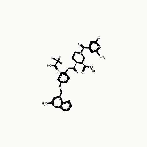 Cc1cc(C(=O)N2CC[C@H](C(=O)Nc3ccc(OCc4cc(C)nc5ccccc45)cc3)[C@@H](C(=O)NO)C2)cc(Cl)n1.O=C(O)C(F)(F)F